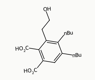 CCCCc1cc(C(=O)O)c(C(=O)O)c(CCO)c1CCCC